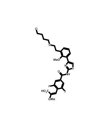 COC(=Cc1c(F)cc(C(=O)Nc2nc(-c3cccc(CCOCCCCCl)c3OC)cs2)cc1F)C(=O)O